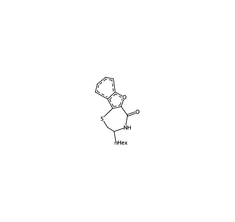 CCCCCCC1CSc2c(oc3ccccc23)C(=O)N1